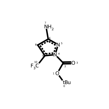 CC(C)(C)OC(=O)n1nc(N)cc1C(F)(F)F